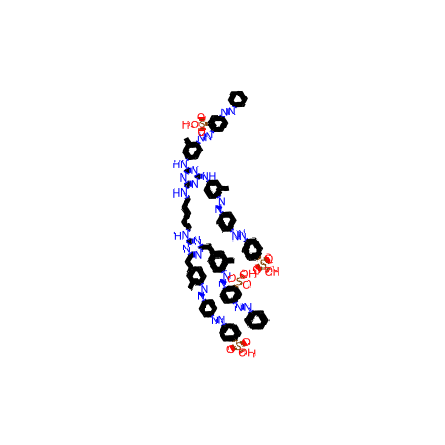 Cc1cc(Cc2nc(Cc3ccc(N=Nc4ccc(N=Nc5ccccc5)cc4S(=O)(=O)O)c(C)c3)nc(NCCCCCNc3nc(Nc4ccc(N=Nc5ccc(N=Nc6ccc(S(=O)(=O)O)cc6)cc5)c(C)c4)nc(Nc4ccc(N=Nc5ccc(N=Nc6ccccc6)cc5S(=O)(=O)O)c(C)c4)n3)n2)ccc1N=Nc1ccc(N=Nc2ccc(S(=O)(=O)O)cc2)cc1